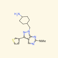 CNc1ncc2c(-c3ccsc3)nn(CC3CCC(N)CC3)c2n1